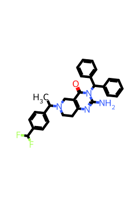 CC(c1ccc(C(F)F)cc1)N1CCc2nc(N)n(C(c3ccccc3)c3ccccc3)c(=O)c2C1